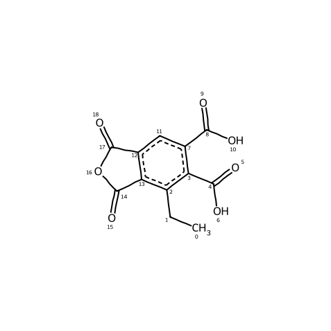 CCc1c(C(=O)O)c(C(=O)O)cc2c1C(=O)OC2=O